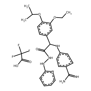 CCOc1cc(C(Nc2ccc(C(=N)N)cc2)C(=O)NNc2ccccn2)ccc1OC(C)C.O=C(O)C(F)(F)F